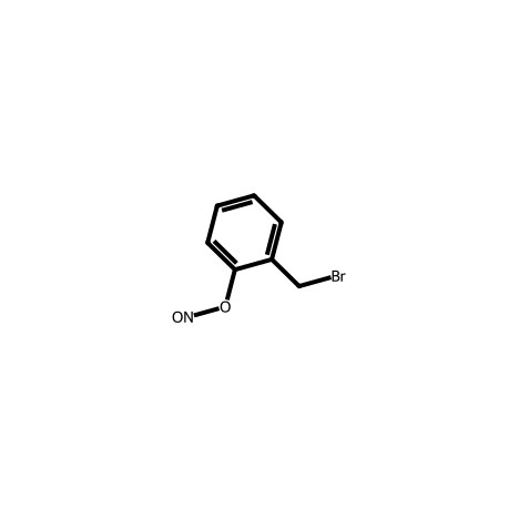 O=NOc1ccccc1CBr